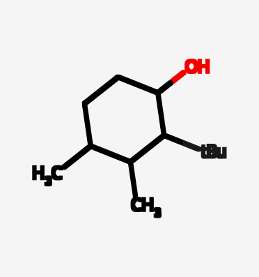 CC1CCC(O)C(C(C)(C)C)C1C